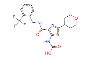 O=C(O)Nc1sc(C2CCOCC2)nc1C(=O)NCc1ccccc1C(F)(F)F